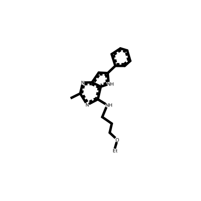 CCOCCCNc1nc(C)nc2cc(-c3ccccc3)[nH]c12